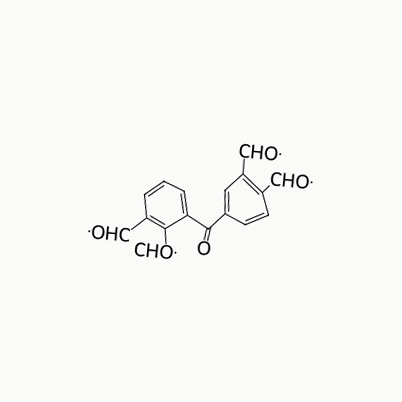 O=[C]c1ccc(C(=O)c2cccc([C]=O)c2[C]=O)cc1[C]=O